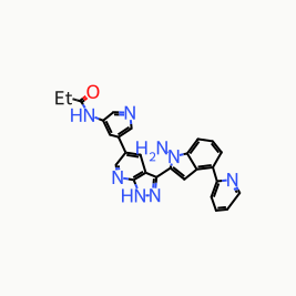 CCC(=O)Nc1cncc(-c2cnc3[nH]nc(-c4cc5c(-c6ccccn6)cccc5n4N)c3c2)c1